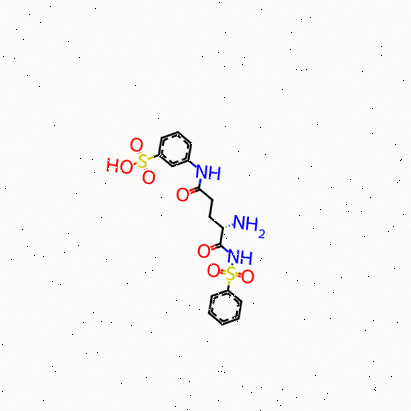 N[C@@H](CCC(=O)Nc1cccc(S(=O)(=O)O)c1)C(=O)NS(=O)(=O)c1ccccc1